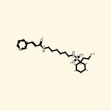 O=C(/C=C/c1cccnc1)NCCCCCCNS(=O)(=O)C1(CCF)CCCCC1